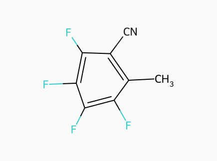 Cc1c(F)c(F)c(F)c(F)c1C#N